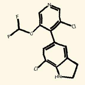 FC(F)Oc1cncc(Cl)c1-c1cc(Cl)c2c(c1)CCN2